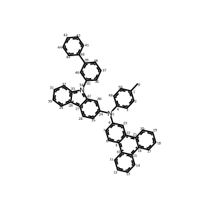 Cc1ccc(N(c2ccc3c4ccccc4c4ccccc4c3c2)c2ccc3c4ccccc4n(-c4cccc(-c5ccccc5)c4)c3c2)cc1